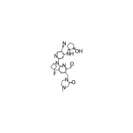 CN1CCN(Cc2cc3c(nc2C=O)N(c2cc(N[C@@H]4CCC[C@H]4O)c(C#N)cn2)C2CC3(F)C2)C(=O)C1